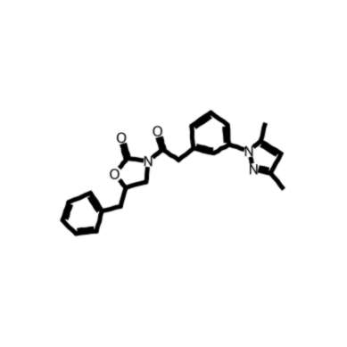 Cc1cc(C)n(-c2cccc(CC(=O)N3CC(Cc4ccccc4)OC3=O)c2)n1